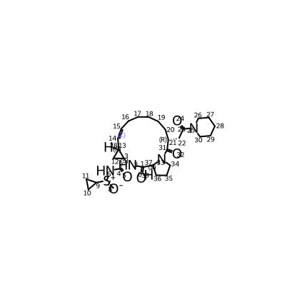 O=C1N[C@@]2(C(=O)N[S+]([O-])C3CC3)C[C@@H]2/C=C\CCCCC[C@H](CC(=O)N2CCCCC2)C(=O)N2CCC[C@@H]12